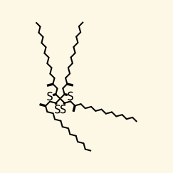 C=C(CCCCCCCCCCCC)CC(=S)C(C(=S)CC(=C)CCCCCCCCCCCC)(C(=S)CC(=C)CCCCCCCCCCCC)C(=S)CC(=C)CCCCCCCCCCCC